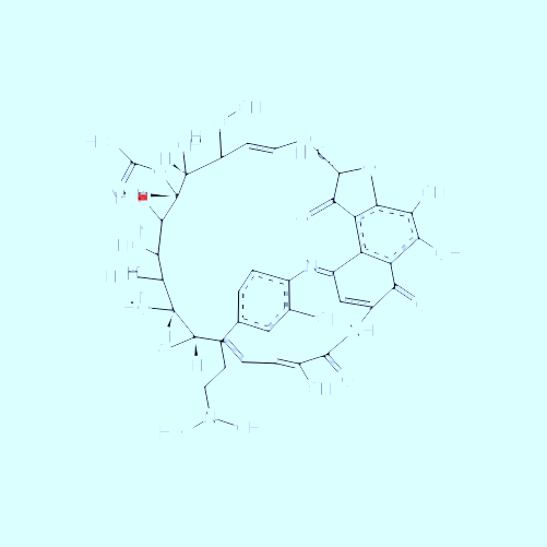 CO[C@H]1/C=C/O[C@@]2(C)Oc3c(C)c(O)c4c(c3C2=O)/C(=N/c2ccc(CCCN(C)C)cc2O)C=C(NC(=O)/C(C)=C\C=C\[C@H](C)[C@H](O)[C@@H](C)[C@@H](O)[C@@H](C)[C@H](OC(C)=O)[C@@H]1C)C4=O